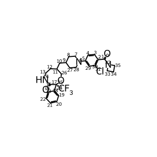 O=C(c1ccc(N2CCC(CC3CCNC(=O)[C@](c4ccccc4)(C(F)(F)F)OC3)CC2)cc1Cl)N1CCC1